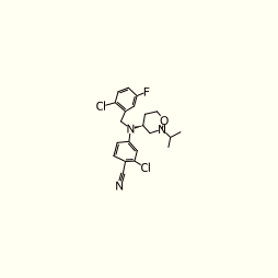 CC(C)N1C[C@@H](N(Cc2cc(F)ccc2Cl)c2ccc(C#N)c(Cl)c2)CCO1